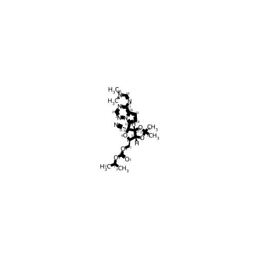 CC(C)OC(=O)OC[C@H]1O[C@@](C#N)(c2ccc3c(/N=C\N(C)C)ncnn23)[C@@H]2OC(C)(C)O[C@@H]21